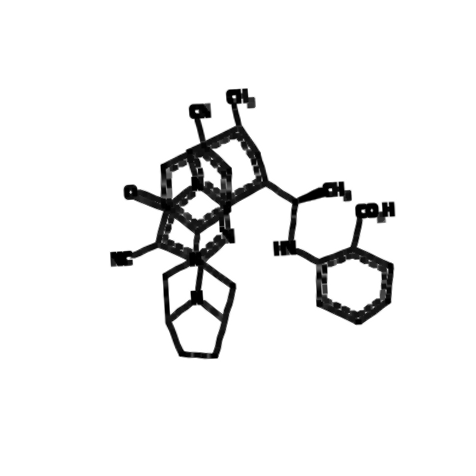 Cc1cc([C@@H](C)Nc2ccccc2C(=O)O)c2nc(N3C4CCC3CN(c3ccc(C#N)cc3)C4)c(C#N)c(=O)n2c1